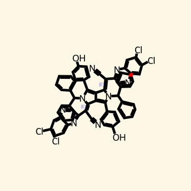 N#C/C(c1cnc2cc(Cl)c(Cl)cc2n1)=c1\c2c(-c3ccc(O)cc3)n(C(c3ccccc3)c3ccccc3)/c(=C(/C#N)c3cnc4cc(Cl)c(Cl)cc4n3)c2c(-c2ccc(O)cc2)n1C(c1ccccc1)c1ccccc1